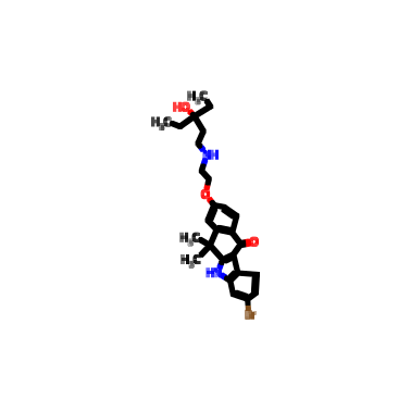 CCC(O)(CC)CCNCCOc1ccc2c(c1)C(C)(C)c1[nH]c3cc(Br)ccc3c1C2=O